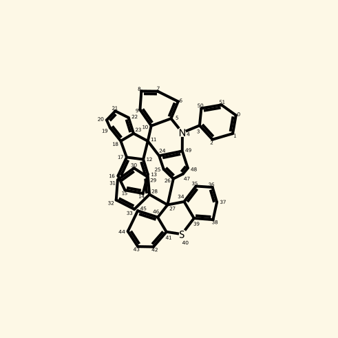 c1ccc(N2c3ccccc3C3(c4ccccc4-c4ccccc43)c3cc(C4(c5ccccc5)c5ccccc5Sc5ccccc54)ccc32)cc1